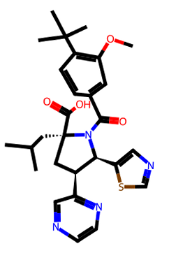 COc1cc(C(=O)N2[C@@H](c3cncs3)[C@@H](c3cnccn3)C[C@@]2(CC(C)C)C(=O)O)ccc1C(C)(C)C